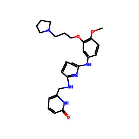 COc1ccc(Nc2cccc(NCc3cccc(=O)[nH]3)n2)cc1OCCCN1CCCC1